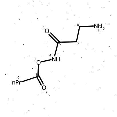 CCCC(=O)ONC(=O)CCN